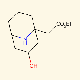 CCOC(=O)CC12CCCC(CC(O)C1)N2